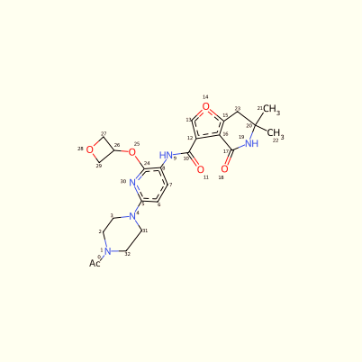 CC(=O)N1CCN(c2ccc(NC(=O)c3coc4c3C(=O)NC(C)(C)C4)c(OC3COC3)n2)CC1